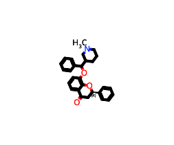 CN1CCCC(C(Oc2cccc3c2O[C@@H](c2ccccc2)CC3=O)c2ccccc2)C1